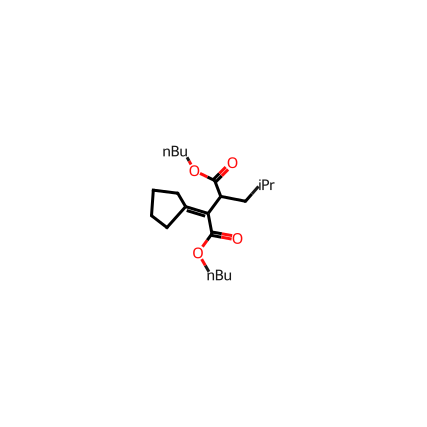 CCCCOC(=O)C(=C1CCCC1)C(CC(C)C)C(=O)OCCCC